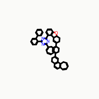 C1=CC=C(c2nc(-c3ccccc3-c3ccccc3)nc(-c3cccc4c3C3C=C(C5=CC=C(C6=Cc7c(ccc8c7CC=CC=C8)CC6)CC5)CCC3O4)n2)CC=C1